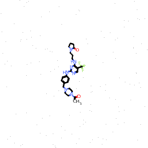 CC(=O)N1CCN(Cc2ccc(Nc3ncc(C(F)(F)F)c(NCCCN4CCCC4=O)n3)cc2)CC1